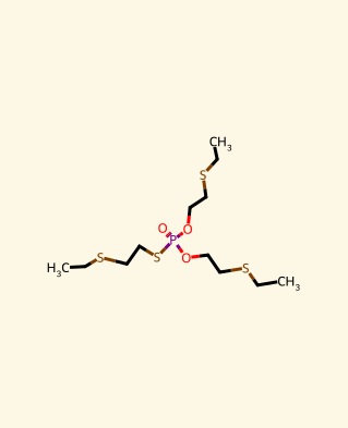 CCSCCOP(=O)(OCCSCC)SCCSCC